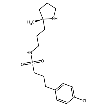 C[C@@]1(CCCNS(=O)(=O)CCCc2ccc(Cl)cc2)CCCN1